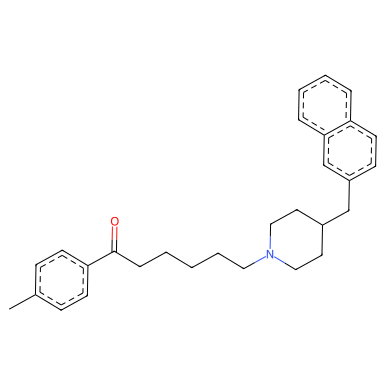 Cc1ccc(C(=O)CCCCCN2CCC(Cc3ccc4ccccc4c3)CC2)cc1